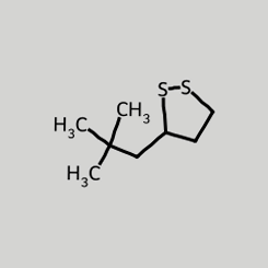 CC(C)(C)CC1CCSS1